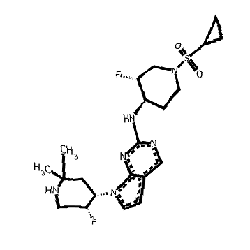 CC1(C)C[C@H](n2ccc3cnc(N[C@@H]4CCN(S(=O)(=O)C5CC5)C[C@H]4F)nc32)[C@H](F)CN1